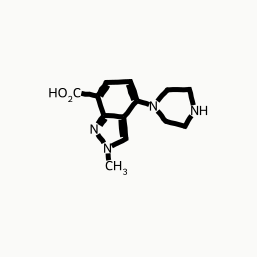 Cn1cc2c(N3CCNCC3)ccc(C(=O)O)c2n1